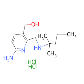 CCCC(C)(C)NCc1nc(N)ccc1CO.Cl.Cl